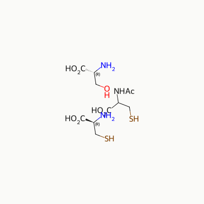 CC(=O)NC(CS)C(=O)O.N[C@@H](CS)C(=O)O.N[C@H](CO)C(=O)O